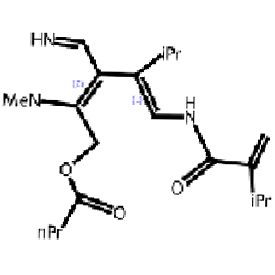 C=C(C(=O)N/C=C(/C(C=N)=C(\COC(=O)CCC)NC)C(C)C)C(C)C